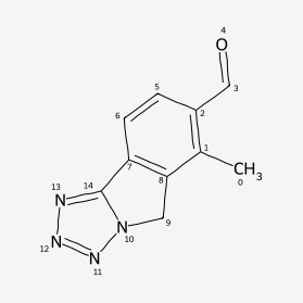 Cc1c(C=O)ccc2c1Cn1nnnc1-2